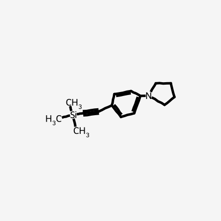 C[Si](C)(C)C#Cc1ccc(N2CCCC2)cc1